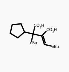 CCCCC=C(C(=O)O)C(CCCC)(C(=O)O)C1CCCC1